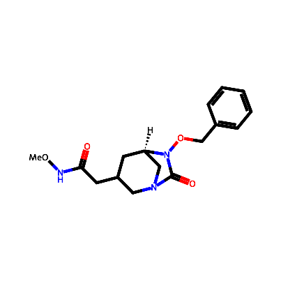 CONC(=O)CC1C[C@@H]2CN(C1)C(=O)N2OCc1ccccc1